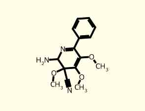 COC1=C(OC)C(C#N)(OC)C(N)N=C1c1ccccc1